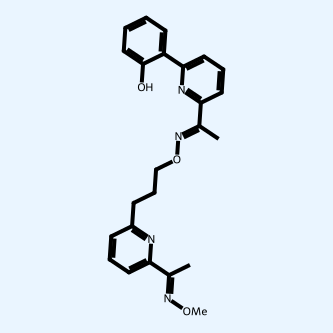 CO/N=C(\C)c1cccc(CCCO/N=C(\C)c2cccc(-c3ccccc3O)n2)n1